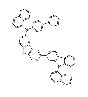 c1ccc(-c2ccc(N(c3ccc4oc5ccc(-c6ccc7c8ccccc8n(-c8cccc9ccccc89)c7c6)cc5c4c3)c3cccc4ccccc34)cc2)cc1